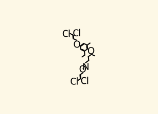 CCc1cc(OCC=C(Cl)Cl)cc(C)c1OC(C)CCC=NOCC=C(Cl)Cl